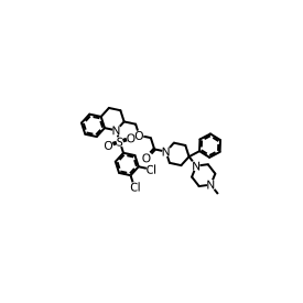 CN1CCN(C2(c3ccccc3)CCN(C(=O)COCC3CCc4ccccc4N3S(=O)(=O)c3ccc(Cl)c(Cl)c3)CC2)CC1